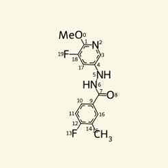 COc1ncc(NNC(=O)c2ccc(F)c(C)c2)cc1F